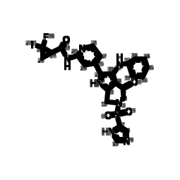 O=C1CN(S(=O)(=O)c2cnc[nH]2)Cc2[nH]c(-c3ccnc(NC(=O)C4CC4(F)F)c3)c(Nc3ccccc3)c21